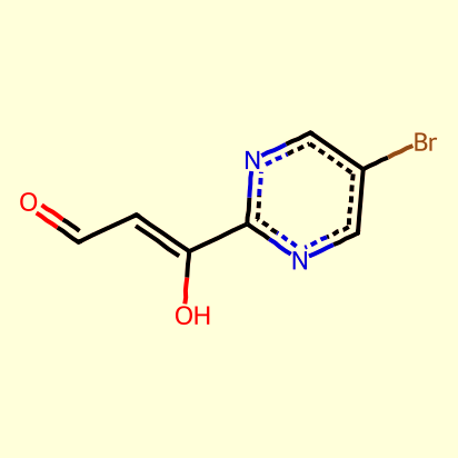 O=CC=C(O)c1ncc(Br)cn1